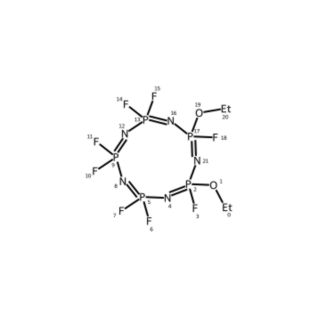 CCOP1(F)=NP(F)(F)=NP(F)(F)=NP(F)(F)=NP(F)(OCC)=N1